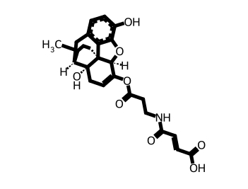 CC1CC[C@]23c4c5ccc(O)c4O[C@H]2C(OC(=O)CCNC(=O)/C=C/C(=O)O)=CC[C@@]3(O)[C@H]1C5